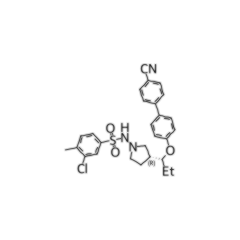 CCC(Oc1ccc(-c2ccc(C#N)cc2)cc1)[C@@H]1CCN(NS(=O)(=O)c2ccc(C)c(Cl)c2)C1